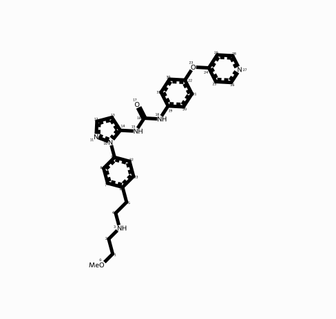 COCCNCCc1ccc(-n2nccc2NC(=O)Nc2ccc(Oc3ccncc3)cc2)cc1